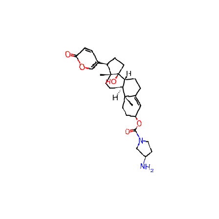 C[C@]12CC[C@H](OC(=O)N3CCC(N)C3)C=C1CC[C@@H]1[C@@H]2CC[C@]2(C)[C@@H](c3ccc(=O)oc3)CC[C@]12O